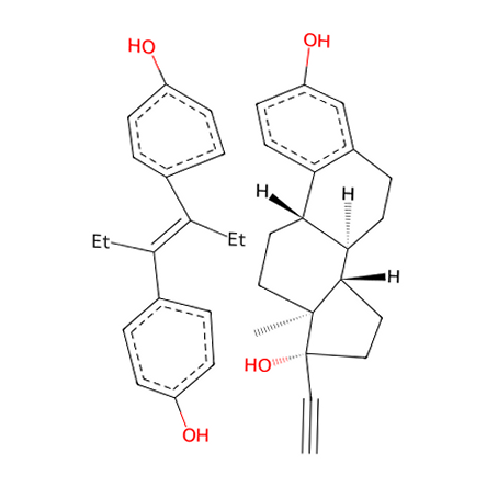 C#C[C@]1(O)CC[C@H]2[C@@H]3CCc4cc(O)ccc4[C@H]3CC[C@@]21C.CC/C(=C(/CC)c1ccc(O)cc1)c1ccc(O)cc1